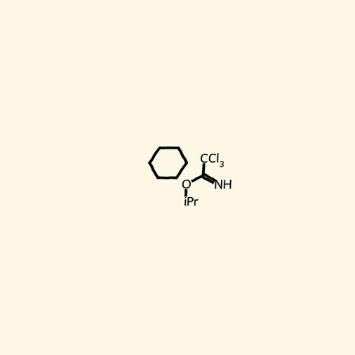 C1CCCCC1.CC(C)OC(=N)C(Cl)(Cl)Cl